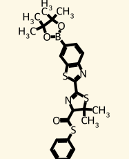 CC1(C)SC(c2nc3ccc(B4OC(C)(C)C(C)(C)O4)cc3s2)=NC1C(=O)Sc1ccccc1